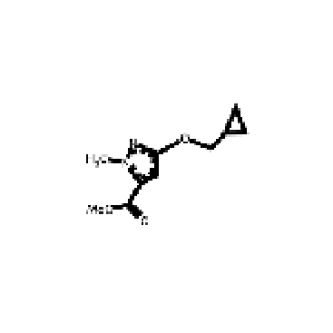 COC(=O)c1cc(OCC2CC2)nn1C